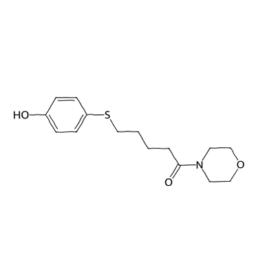 O=C(CCCCSc1ccc(O)cc1)N1CCOCC1